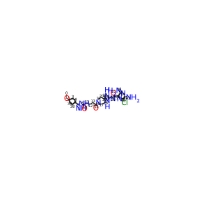 COc1ccc(C(=N)NC(=O)CCCC(=O)N2CCC3(CC2)CN/C(=N\C(=O)c2nc(Cl)c(N)nc2N)N3)cc1